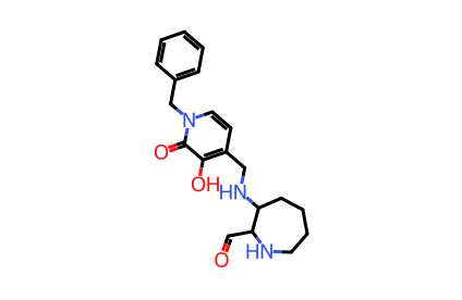 O=CC1NCCCCC1NCc1ccn(Cc2ccccc2)c(=O)c1O